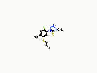 Cc1cc(F)c(-n2nnn(C)c2=S)cc1SCC(F)(F)F